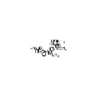 CNc1c(C(C)=N)nc(C)nc1N1CCc2c(c(C)nn2CC23CCCC(C2)C(NC(=O)C2CNC2)CC3)C1